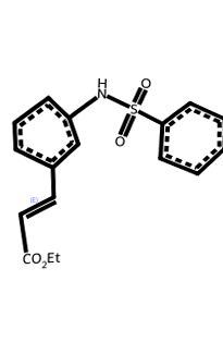 CCOC(=O)/C=C/c1cccc(NS(=O)(=O)c2ccccc2)c1